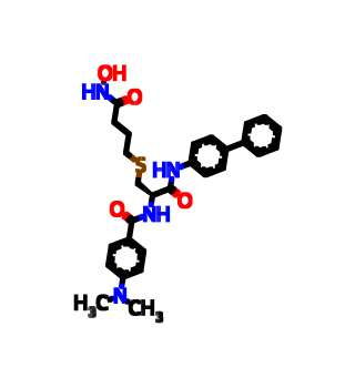 CN(C)c1ccc(C(=O)N[C@@H](CSCCCC(=O)NO)C(=O)Nc2ccc(-c3ccccc3)cc2)cc1